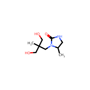 CC1CNC(=O)N1CC(C)(CO)CO